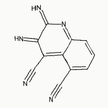 N#CC1=c2c(C#N)cccc2=NC(=N)C1=N